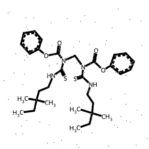 CCC(C)(C)CCNC(=S)N(CN(C(=O)Oc1ccccc1)C(=S)NCCC(C)(C)CC)C(=O)Oc1ccccc1